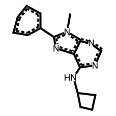 Cn1c(-c2ccccc2)nc2c(NC3CCC3)ncnc21